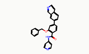 O=C(Nc1ccncc1)c1ccc(-c2ccc3ccncc3c2)cc1OCc1ccccc1